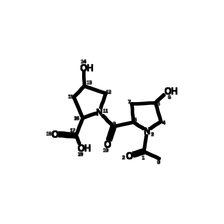 CC(=O)N1CC(O)CC1C(=O)N1CC(O)CC1C(=O)O